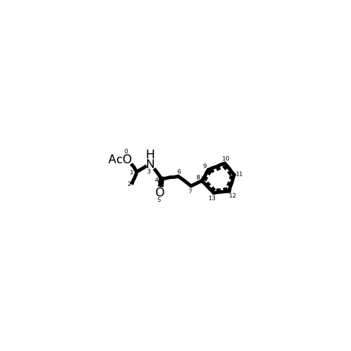 CC(=O)OC(C)NC(=O)CCc1ccccc1